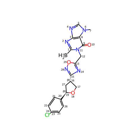 Bc1nc2ncn(C)c2c(=O)n1Cc1nc([C@@H]2CO[C@@H](c3ccc(Cl)cc3)C2)no1